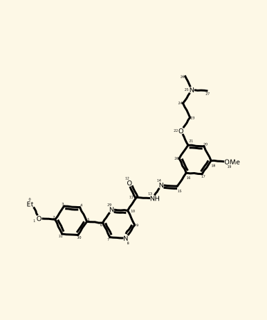 CCOc1ccc(-c2cncc(C(=O)NN=Cc3cc(OC)cc(OCCN(C)C)c3)n2)cc1